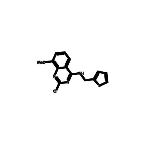 COc1cccc2c(NCc3cccs3)nc(Cl)nc12